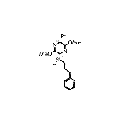 COC1=N[C@H](C(C)C)C(OC)=N[C@H]1[C@@H](O)CCCc1ccccc1